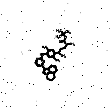 Cc1cc(N(C)CCN(C)C(=O)OC(C)(C)C)c(N)cc1Nc1nccc(-c2cn3c4c(cccc24)CCC3)n1